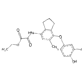 CCOC(=O)C(=O)Nc1cc(C)c(Oc2ccc(O)c(I)c2)c2c1CCC2